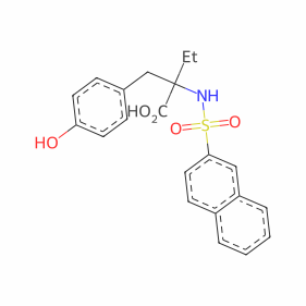 CCC(Cc1ccc(O)cc1)(NS(=O)(=O)c1ccc2ccccc2c1)C(=O)O